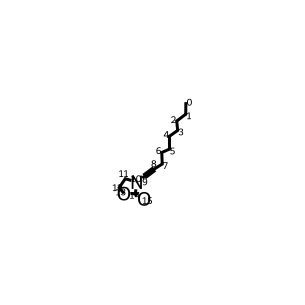 CCCCCCCCC#CN1CCOC1=O